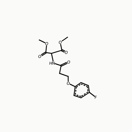 COC(=O)C(NC(=O)CCOc1ccc(F)cc1)C(=O)OC